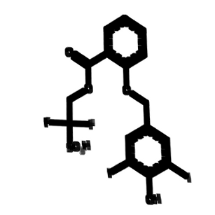 O=C(OCC(F)(F)S(=O)(=O)O)c1ccccc1OCc1cc(I)c(O)c(I)c1